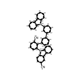 N#Cc1ccc2c(c1)c1ccccc1n2-c1cccc(C#N)c1-c1cccc(-c2cccc(-n3c4ccccc4c4ccccc43)c2)c1